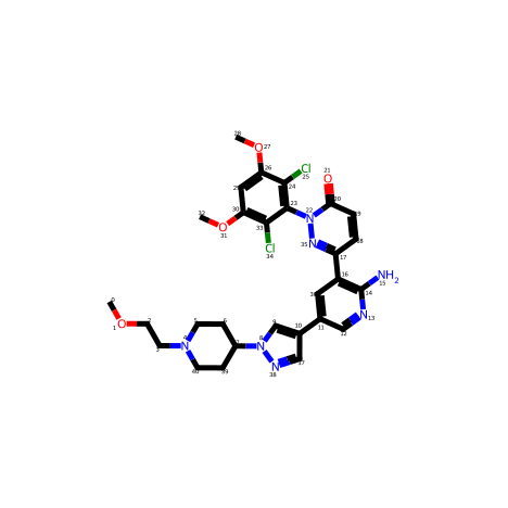 COCCN1CCC(n2cc(-c3cnc(N)c(-c4ccc(=O)n(-c5c(Cl)c(OC)cc(OC)c5Cl)n4)c3)cn2)CC1